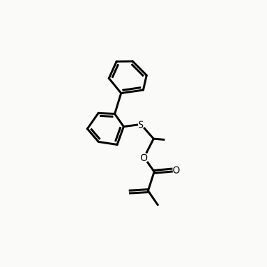 C=C(C)C(=O)OC(C)Sc1ccccc1-c1ccccc1